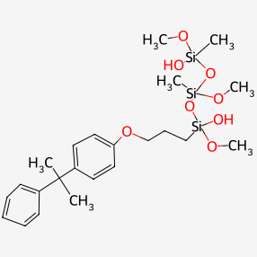 CO[Si](C)(O)O[Si](C)(OC)O[Si](O)(CCCOc1ccc(C(C)(C)c2ccccc2)cc1)OC